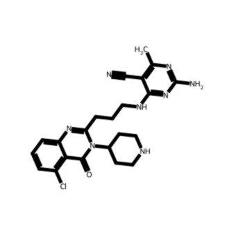 Cc1nc(N)nc(NCCCc2nc3cccc(Cl)c3c(=O)n2C2CCNCC2)c1C#N